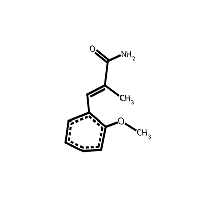 COc1ccccc1C=C(C)C(N)=O